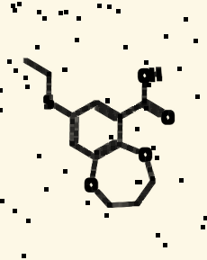 CCSc1cc2c(c(C(=O)O)c1)OCCCO2